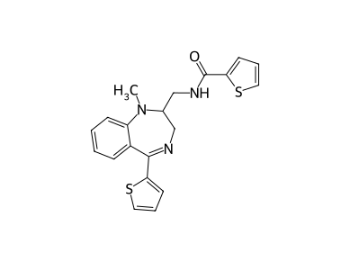 CN1c2ccccc2C(c2cccs2)=NCC1CNC(=O)c1cccs1